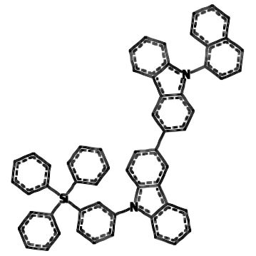 c1ccc([Si](c2ccccc2)(c2ccccc2)c2cccc(-n3c4ccccc4c4cc(-c5ccc6c(c5)c5ccccc5n6-c5cccc6ccccc56)ccc43)c2)cc1